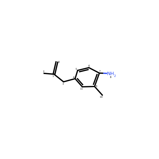 C=C(C)Cc1ccc(N)c(C)c1